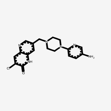 Nc1ccc(N2CCN(Cc3cnc4cc(Cl)c(=O)[nH]c4c3)CC2)nc1